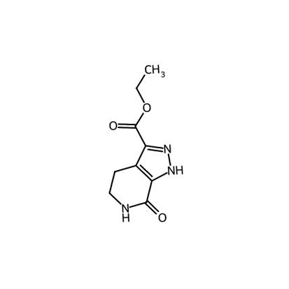 CCOC(=O)c1n[nH]c2c1CCNC2=O